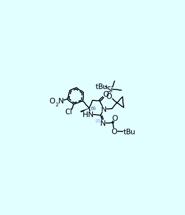 CC(C)(C)OC(=O)/N=C1/N[C@](C)(c2cccc([N+](=O)[O-])c2Cl)CC(=O)N1CC1(O[Si](C)(C)C(C)(C)C)CC1